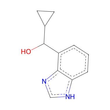 OC(c1cccc2[nH]cnc12)C1CC1